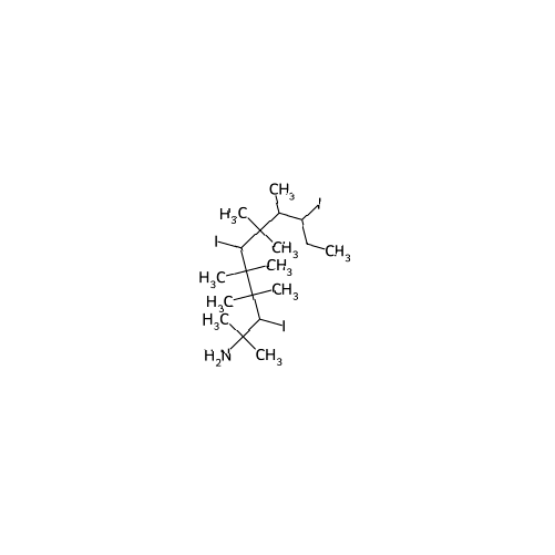 CCC(I)C(C)C(C)(C)C(I)C(C)(C)C(C)(C)C(I)C(C)(C)N